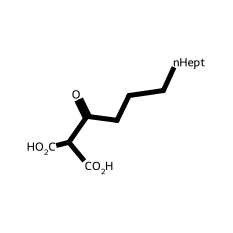 CCCCCCCCCCC(=O)C(C(=O)O)C(=O)O